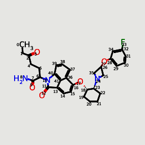 CCC(=O)CCC(C(N)=O)N1C(=O)c2ccc(O[C@H]3CCCC[C@@H]3N3CC(Oc4cccc(F)c4)C3)c3cccc1c23